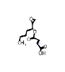 CCCCC(OC(=O)/C=C/C(=O)O)C1CO1